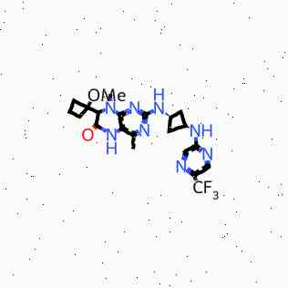 COC1(C2C(=O)Nc3c(C)nc(N[C@H]4C[C@@H](Nc5cnc(C(F)(F)F)cn5)C4)nc3N2C)CCC1